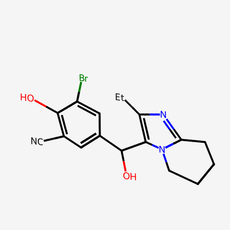 CCc1nc2n(c1C(O)c1cc(Br)c(O)c(C#N)c1)CCCC2